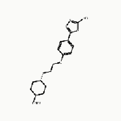 CCCCCCCCc1nnc(-c2ccc(OCCC[C@H]3CC[C@H](CCCCC)CC3)cc2)s1